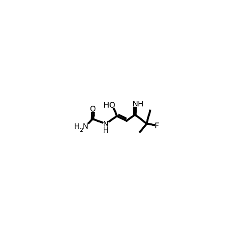 CC(C)(F)C(=N)/C=C(\O)NC(N)=O